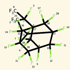 FC(F)(F)C(F)(F)C12C(F)(F)C3(F)C(F)(F)C(F)(C(F)(F)C(F)(C3(F)F)C1(F)C(F)(F)F)C2(F)F